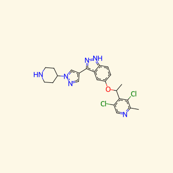 Cc1ncc(Cl)c(C(C)Oc2ccc3[nH]nc(-c4cnn(C5CCNCC5)c4)c3c2)c1Cl